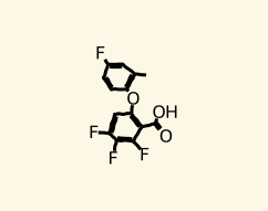 Cc1cc(F)ccc1Oc1cc(F)c(F)c(F)c1C(=O)O